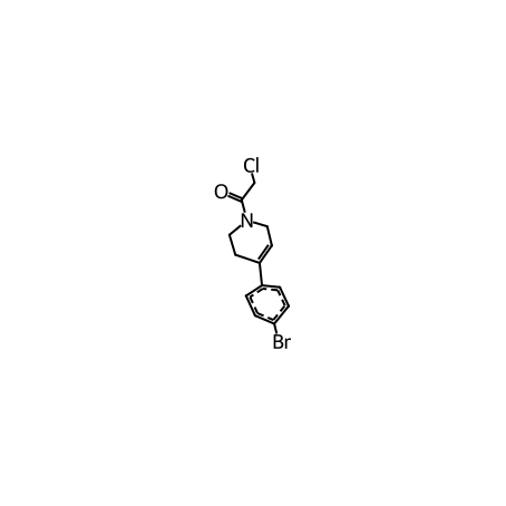 O=C(CCl)N1CC=C(c2ccc(Br)cc2)CC1